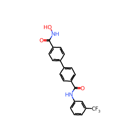 O=C(NO)c1ccc(-c2ccc(C(=O)Nc3cccc(C(F)(F)F)c3)cc2)cc1